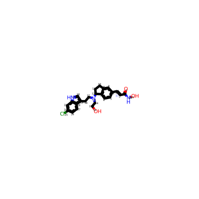 O=C(/C=C/c1ccc2c(c1)CCC2N(CCO)CCc1c[nH]c2cc(Cl)ccc12)NO